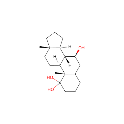 C[C@@]12CCC[C@H]1[C@@H]1[C@@H](O)CC3CC=CC(O)(O)[C@]3(C)[C@H]1CC2